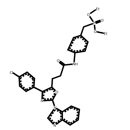 CCOP(=O)(Cc1ccc(NC(=O)CCc2oc(-n3cnc4ccccc43)nc2-c2ccc(Cl)cc2)cc1)OCC